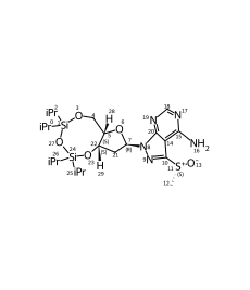 CC(C)[Si]1(C(C)C)OC[C@@H]2O[C@@H](n3nc([S@@+](C)[O-])c4c(N)ncnc43)C[C@@H]2O[Si](C(C)C)(C(C)C)O1